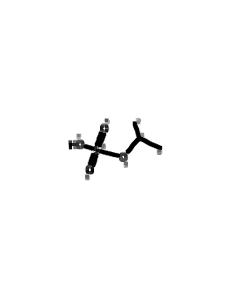 C[C](C)OS(=O)(=O)O